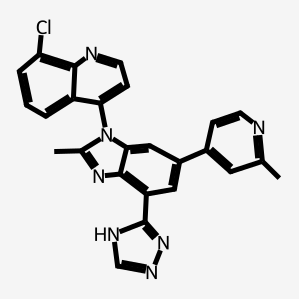 Cc1cc(-c2cc(-c3nnc[nH]3)c3nc(C)n(-c4ccnc5c(Cl)cccc45)c3c2)ccn1